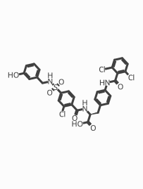 O=C(N[C@@H](Cc1ccc(NC(=O)c2c(Cl)cccc2Cl)cc1)C(=O)O)c1ccc(S(=O)(=O)NCc2cccc(O)c2)cc1Cl